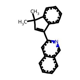 CC1(C)C=C(c2cc3ccccc3cn2)c2ccccc21